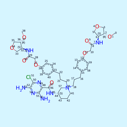 CO[C@H]1COC[C@@H]1NC(=O)COc1ccc(CCC[N+]2(CCCc3ccc(OCC(=O)N[C@H]4COC[C@@H]4OC)cc3)CCC[C@H](NC(=O)c3nc(Cl)c(N)nc3N)C2)cc1